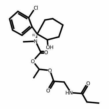 CCC(=O)NCC(=O)OC(C)OC(=O)N(C)[C@]1(c2ccccc2Cl)CCCCC1O